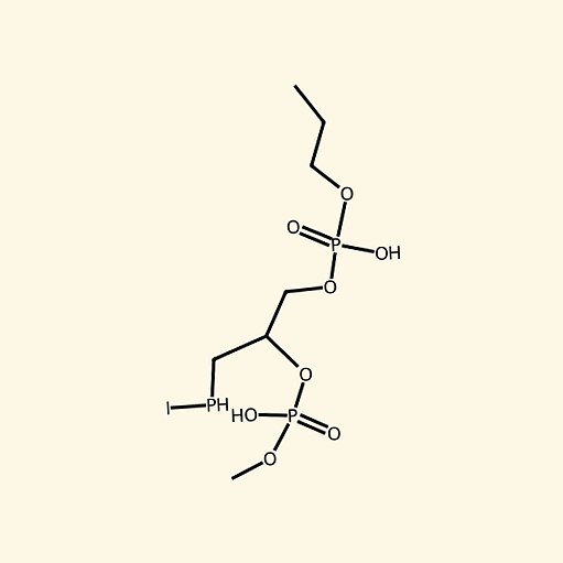 CCCOP(=O)(O)OCC(CPI)OP(=O)(O)OC